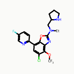 CCN(CC1CCCN1)c1nc2c(OC(F)(F)F)c(Cl)cc(-c3ccc(F)cn3)c2o1